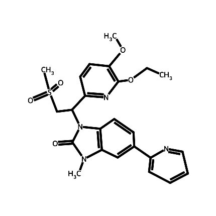 CCOc1nc(C(CS(C)(=O)=O)n2c(=O)n(C)c3cc(-c4ccccn4)ccc32)ccc1OC